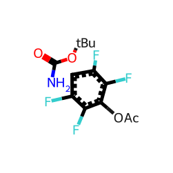 CC(=O)Oc1c(F)c(F)cc(F)c1F.CC(C)(C)OC(N)=O